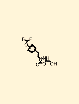 O=C1OC(CO)NN1CCc1ccc(OC(F)F)cc1